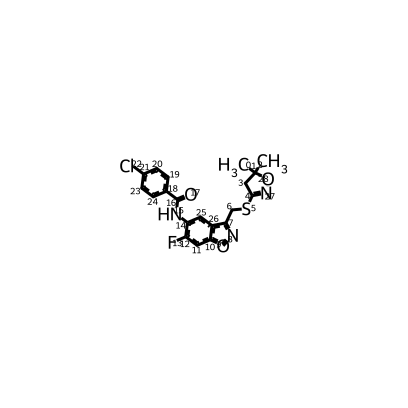 CC1(C)CC(SCc2noc3cc(F)c(NC(=O)c4ccc(Cl)cc4)cc23)=NO1